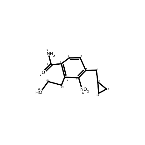 NC(=O)c1ccc(CC2CC2)c([N+](=O)[O-])c1CCO